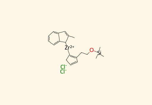 CC1=Cc2ccccc2[CH]1[Zr+2][C]1=C(CCO[Si](C)(C)C)C=CC1.[Cl-].[Cl-]